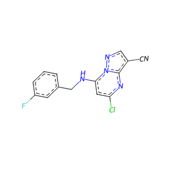 N#Cc1cnn2c(NCc3cccc(F)c3)cc(Cl)nc12